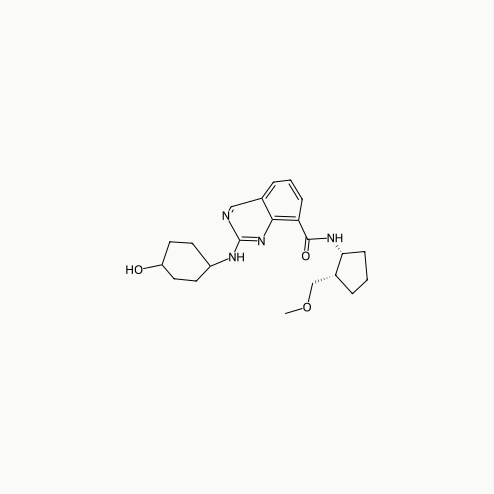 COC[C@H]1CCC[C@H]1NC(=O)c1cccc2cnc(NC3CCC(O)CC3)nc12